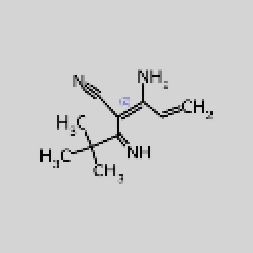 C=C/C(N)=C(/C#N)C(=N)C(C)(C)C